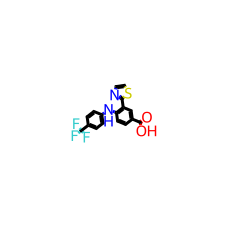 O=C(O)c1ccc(Nc2ccc(C(F)(F)F)cc2)c(-c2nccs2)c1